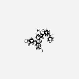 Cc1cnc(NC2CCOCC2)nc1-c1cc2n(c1)CCN(C(c1ccc(Cl)c(F)c1)c1cnn(C)c1)C2=O